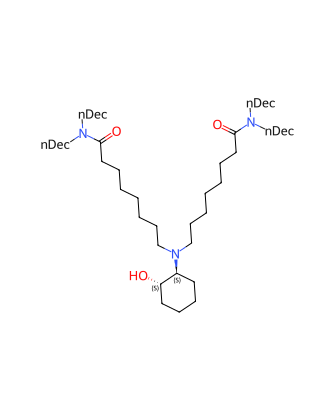 CCCCCCCCCCN(CCCCCCCCCC)C(=O)CCCCCCCN(CCCCCCCC(=O)N(CCCCCCCCCC)CCCCCCCCCC)[C@H]1CCCC[C@@H]1O